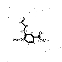 COC(=O)c1ccc(OC)c(NCC=S)c1